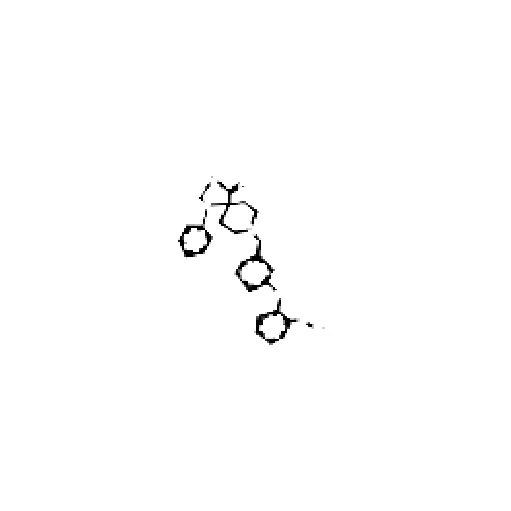 O=C1NCN(c2ccccc2)C12CCN(Cc1cccc(Oc3ccccc3OC(F)(F)F)c1)CC2